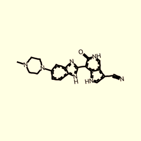 CN1CCN(c2ccc3[nH]c(-c4c(=O)[nH]cc5c(C#N)c[nH]c45)nc3c2)CC1